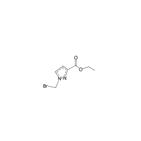 CCOC(=O)c1ccn(CBr)n1